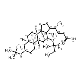 CCC(C)(C)O[C@H]1C[C@H]2[C@@H](CC[C@@H]3C[C@H](OC(C)(C)C)CC[C@@]32C)[C@@H]2CCC([C@H](C)CCC(=O)O)[C@@]12C